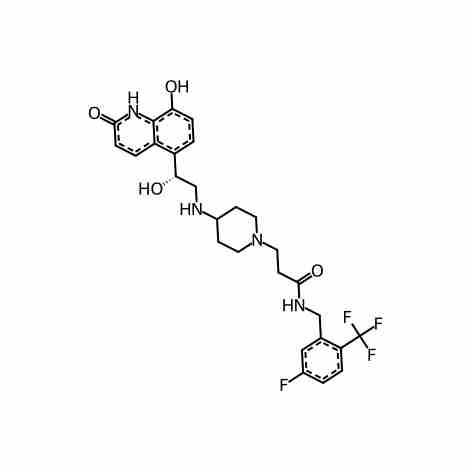 O=C(CCN1CCC(NC[C@H](O)c2ccc(O)c3[nH]c(=O)ccc23)CC1)NCc1cc(F)ccc1C(F)(F)F